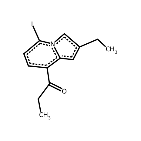 CCC(=O)c1ccc(I)n2cc(CC)cc12